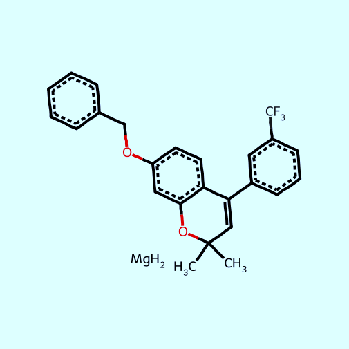 CC1(C)C=C(c2cccc(C(F)(F)F)c2)c2ccc(OCc3ccccc3)cc2O1.[MgH2]